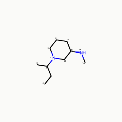 CCC(C)N1CCC[C@@H](NC)C1